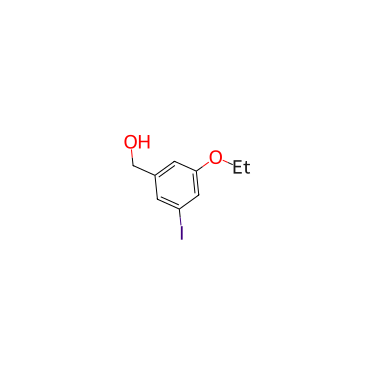 CCOc1cc(I)cc(CO)c1